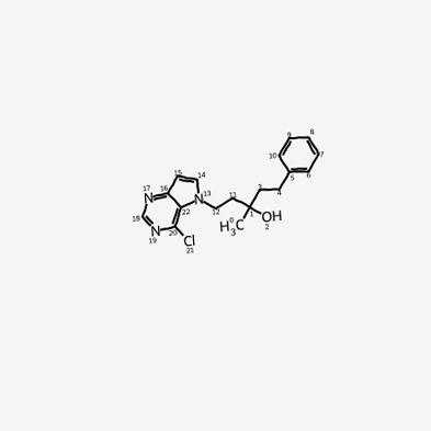 CC(O)(CCc1ccccc1)CCn1ccc2ncnc(Cl)c21